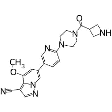 COc1cc(-c2ccc(N3CCN(C(=O)C4CNC4)CC3)nc2)cn2ncc(C#N)c12